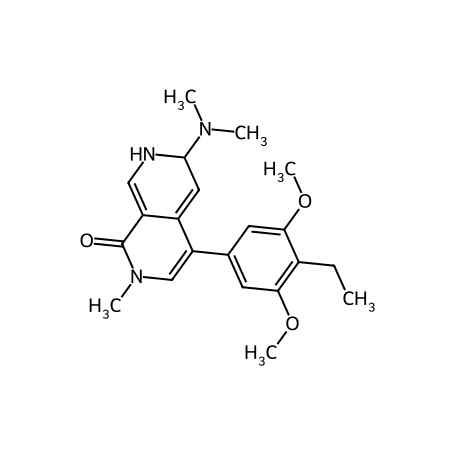 CCc1c(OC)cc(-c2cn(C)c(=O)c3c2=CC(N(C)C)NC=3)cc1OC